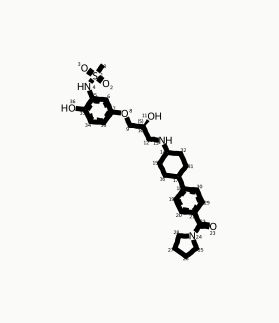 CS(=O)(=O)Nc1cc(OC[C@@H](O)CNC2CCC(c3ccc(C(=O)N4CCCC4)cc3)CC2)ccc1O